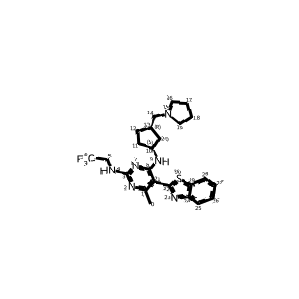 Cc1nc(NCC(F)(F)F)nc(N[C@H]2CC[C@@H](CN3CCCC3)C2)c1-c1nc2ccccc2s1